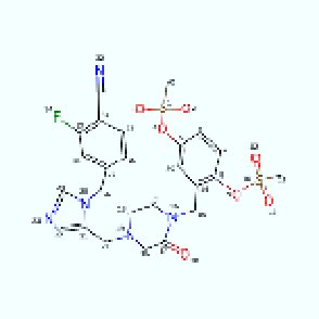 CS(=O)(=O)Oc1ccc(OS(C)(=O)=O)c(CN2CCN(Cc3cncn3Cc3ccc(C#N)c(F)c3)CC2=O)c1